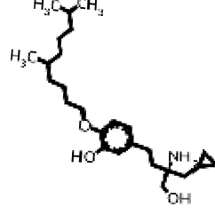 CC(C)CCCC(C)CCCCOc1ccc(CC[C@@](N)(CO)CC2CC2)cc1O